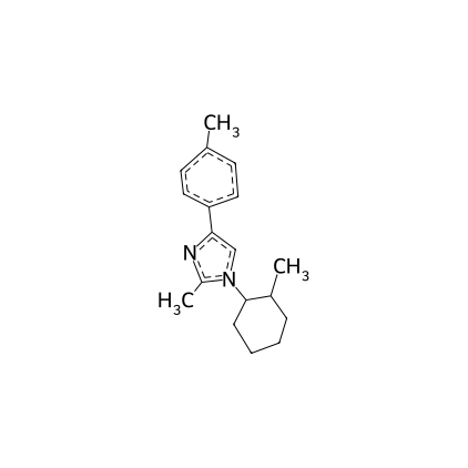 Cc1ccc(-c2cn(C3CCCCC3C)c(C)n2)cc1